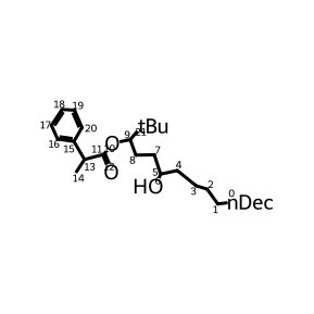 CCCCCCCCCCCCCCC(O)CCC(OC(=O)C(C)c1ccccc1)C(C)(C)C